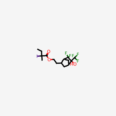 CCC(C)(I)C(=O)OCCC1CC2CC1C(F)(F)C2(O)C(F)(F)F